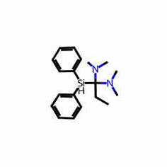 CCC(N(C)C)(N(C)C)[SiH](c1ccccc1)c1ccccc1